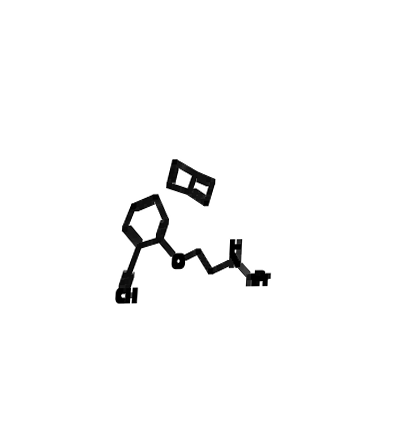 C#Cc1ccccc1OCCNCCC.c1cc2ccc1-2